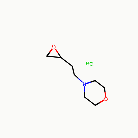 C1CN(CCC2CO2)CCO1.Cl